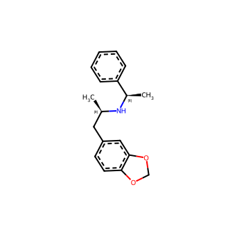 C[C@H](Cc1ccc2c(c1)OCO2)N[C@H](C)c1ccccc1